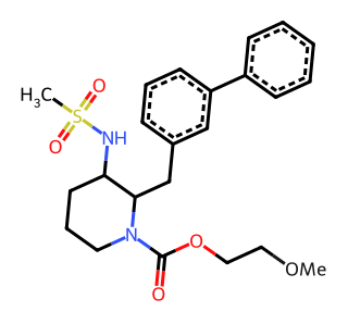 COCCOC(=O)N1CCCC(NS(C)(=O)=O)C1Cc1cccc(-c2ccccc2)c1